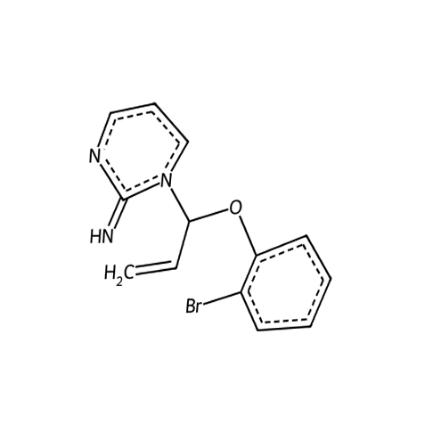 C=CC(Oc1ccccc1Br)n1cccnc1=N